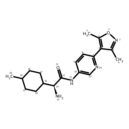 Cc1noc(C)c1-c1ccc(NC(=O)[C@@H](N)C2CCC(C)CC2)cn1